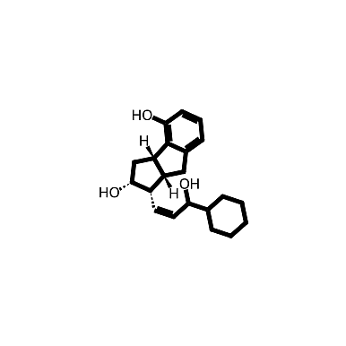 Oc1cccc2c1[C@H]1C[C@@H](O)[C@@H](/C=C\C(O)C3CCCCC3)[C@H]1C2